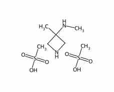 CNC1(C)CNC1.CS(=O)(=O)O.CS(=O)(=O)O